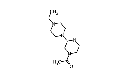 CCN1CCN(C2CN(C(C)=O)CC[N]2)CC1